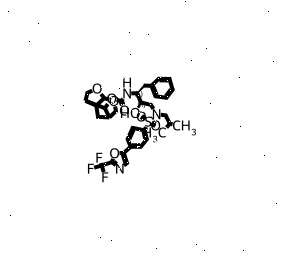 CC(C)CN(C[C@@H](O)[C@H](Cc1ccccc1)NC(=O)OC1C2COC3OCC1C3C2)S(=O)(=O)c1ccc(-c2cnc(C(F)(F)F)o2)cc1